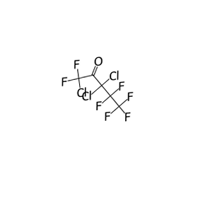 O=C(C(F)(F)Cl)C(Cl)(Cl)C(F)(F)C(F)(F)F